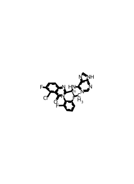 CC[C@H](Nc1ncnc2[nH]cnc12)c1nc2ccc(F)c(Cl)c2c(=O)n1-c1c(F)cccc1F